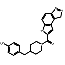 Cc1ccc(CC2CCN(C(=O)c3cc4c5c(ccc4[nH]3)N=NC5)CC2)cc1